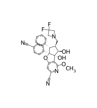 COc1nc(C#N)cc2c1[C@]1(O)[C@H](O)[C@H](CN3CC(F)(F)C3)[C@@H](c3ccccc3)[C@]1(c1ccc(C#N)cc1)O2